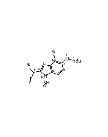 CCCCOc1ccc2c(cc(C(F)F)n2S)c1Cl